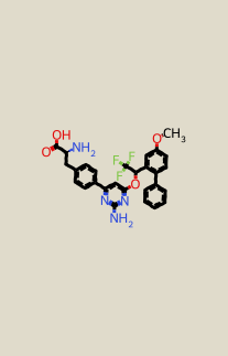 COc1ccc(-c2ccccc2)c(C(Oc2cc(-c3ccc(C[C@H](N)C(=O)O)cc3)nc(N)n2)C(F)(F)F)c1